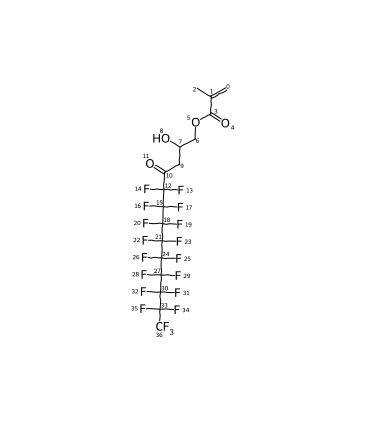 C=C(C)C(=O)OCC(O)CC(=O)C(F)(F)C(F)(F)C(F)(F)C(F)(F)C(F)(F)C(F)(F)C(F)(F)C(F)(F)C(F)(F)F